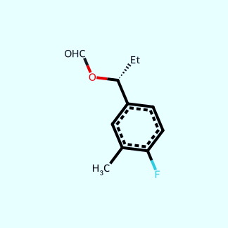 CC[C@@H](OC=O)c1ccc(F)c(C)c1